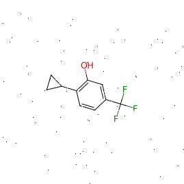 Oc1cc(C(F)(F)F)ccc1C1CC1